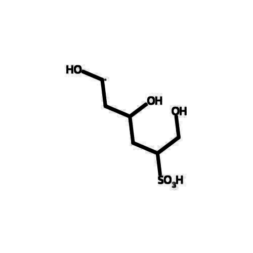 O=S(=O)(O)C(CO)CC(O)C[CH]O